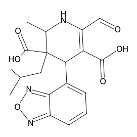 CC(C)CC1(C(=O)O)C(C)NC(C=O)=C(C(=O)O)C1c1cccc2nonc12